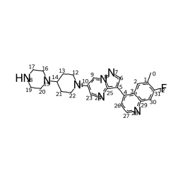 Cc1cc2c(-c3cnn4cc(N5CCC(N6CCNCC6)CC5)cnc34)ccnc2cc1F